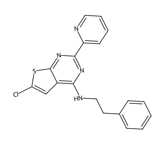 Clc1cc2c(NCCc3ccccc3)nc(-c3ccccn3)nc2s1